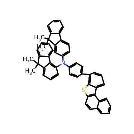 CC1(C)c2ccccc2-c2ccc(N(c3ccc(-c4cccc5c4sc4ccc6ccccc6c45)cc3)c3cccc4c3-c3ccccc3C4(C)C)cc21